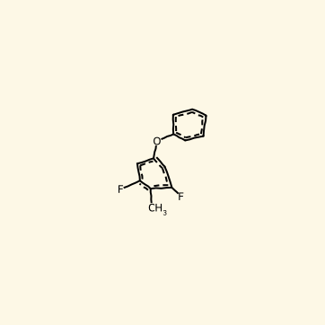 Cc1c(F)cc(Oc2ccccc2)cc1F